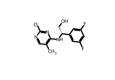 Cc1cnc(Cl)nc1N[C@H](CO)c1cc(F)cc(F)c1